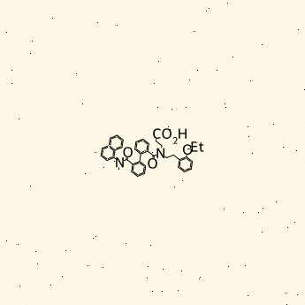 CCOc1ccccc1CCN(CCC(=O)O)C(=O)c1ccccc1-c1ccccc1C(=O)N(C)c1cccc2ccccc12